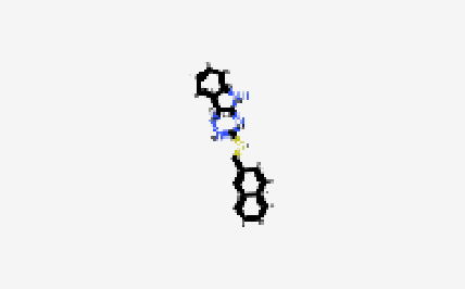 c1ccc2cc(CSc3nnc4c(n3)[nH]c3ccccc34)ccc2c1